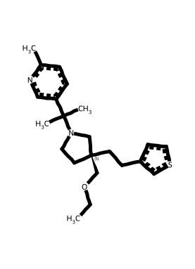 CCOC[C@@]1(CCc2ccsc2)CCN(C(C)(C)c2ccc(C)nc2)C1